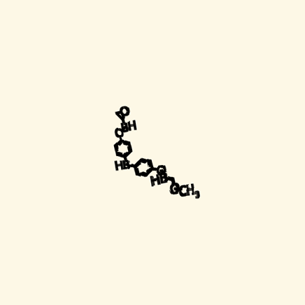 COCBOc1ccc(Bc2ccc(OBC3CO3)cc2)cc1